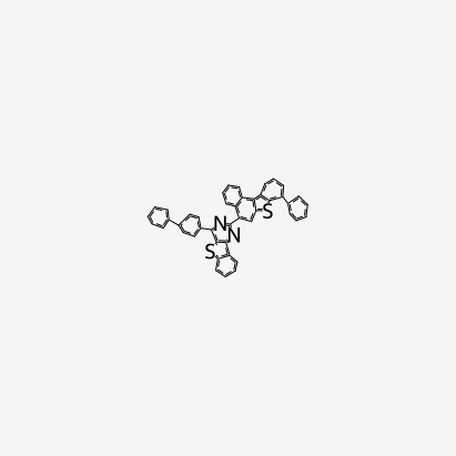 c1ccc(-c2ccc(-c3nc(-c4cc5sc6c(-c7ccccc7)cccc6c5c5ccccc45)nc4c3sc3ccccc34)cc2)cc1